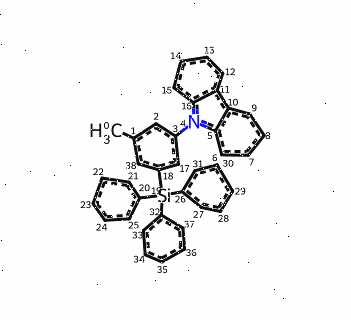 Cc1cc(-n2c3ccccc3c3ccccc32)cc([Si](c2ccccc2)(c2ccccc2)c2ccccc2)c1